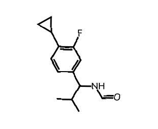 CC(C)C(NC=O)c1ccc(C2CC2)c(F)c1